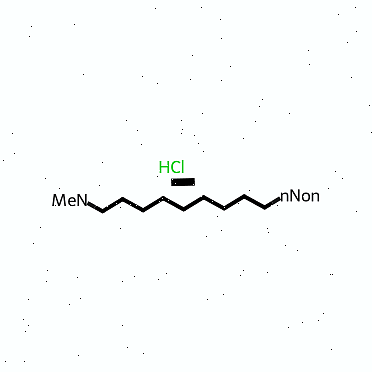 C=C.CCCCCCCCCCCCCCCCCCNC.Cl